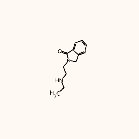 CCNCCN1Cc2ccccc2C1=O